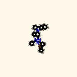 C1=CCC2C(=C1)N(c1ccc(-c3nc(-c4ccccc4)nc(-c4cccc5c4sc4ccccc45)n3)c3ccccc13)c1cc3ccccc3cc12